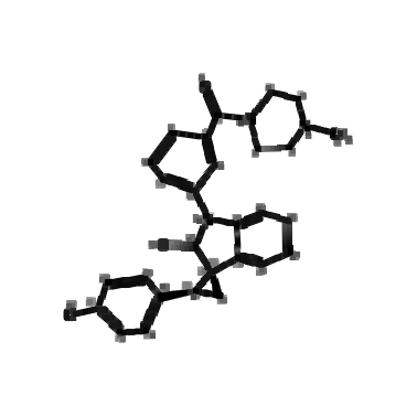 CN1CCN(C(=O)c2cccc(N3C(=O)[C@]4(C[C@H]4c4ccc(Cl)cc4)c4ccccc43)c2)CC1